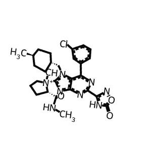 CNC(=O)[C@@H]1CCC[N+]1(C)c1nc2nc(-c3noc(=O)[nH]3)nc(-c3cccc(Cl)c3)c2n1C[C@H]1CC[C@H](C)CC1